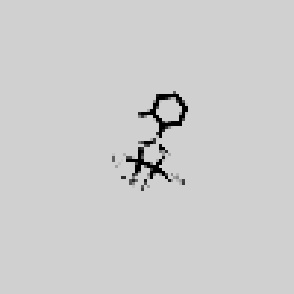 CC1(C)OB(C2CCCCC2F)OC1(C)C